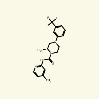 Cc1ccnc(NC(=S)N2CCN(c3cccc(C(F)(F)F)c3)C[C@@H]2C)c1